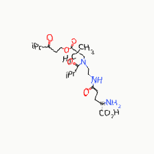 CC(C)C(=O)CCOC(=O)C(C)(C)CN(CCNC(=O)CC[C@H](N)C(=O)O)C(=O)C(C)C